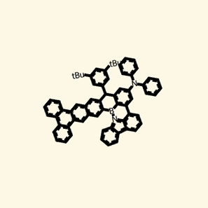 CC(C)(C)c1cc(C2c3cc4cc5c6ccccc6c6ccccc6c5cc4cc3B3c4c(cc(N(c5ccccc5)c5ccccc5)cc42)-c2cccc4c5ccccc5n3c24)cc(C(C)(C)C)c1